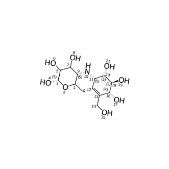 CC1O[C@H](O)C(O)C(O)[C@@H]1N[C@H]1C=C(CO)[C@@H](O)[C@H](O)[C@H]1O